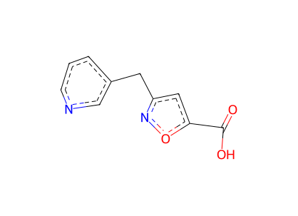 O=C(O)c1cc(Cc2cccnc2)no1